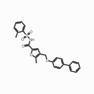 Cc1ccccc1S(=O)(=O)NC(=O)c1cc(COc2ccc(-c3ccccc3)cc2)c(C)o1